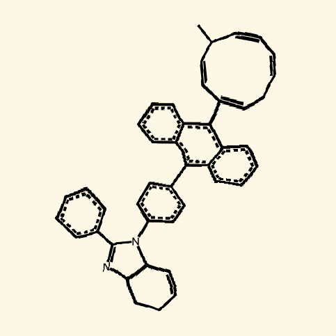 CC1/C=C\C=C/C/C=C(c2c3ccccc3c(-c3ccc(N4C(c5ccccc5)=NC5CCC=CC54)cc3)c3ccccc23)\C=C/1